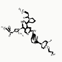 C=CC(=O)N1CCCC1c1nnc(N2C[C@H](CS(C)(=O)=O)[C@H]2C)c2cnc(Nc3ccnc(N4CC[C@@H](OCCO)[C@@H](F)C4)n3)cc12